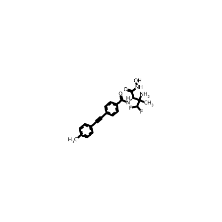 Cc1ccc(C#Cc2ccc(C(=O)N[C@H](C(=O)NO)C(C)(N)C(F)F)cc2)cc1